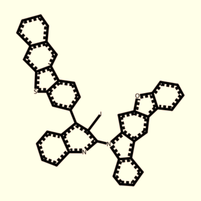 Ic1c(-n2c3ccccc3c3cc4c(cc32)oc2ccccc24)nc2ccccc2c1-c1ccc2c(c1)sc1cc3ccccc3cc12